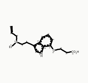 C=CCN(CC)CCc1c[nH]c2c(OCCC(=O)O)cccc12